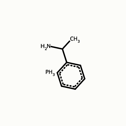 CC(N)c1ccccc1.P